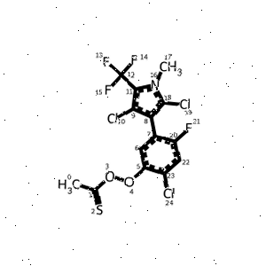 CC(=S)OOc1cc(-c2c(Cl)c(C(F)(F)F)n(C)c2Cl)c(F)cc1Cl